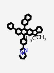 CC1(C)c2ccccc2-c2cc3c(-c4ccc5ccccc5c4)c4cc(-c5ccccc5)ccc4c(-c4ccc(-c5cn6ccccc6n5)cc4)c3cc21